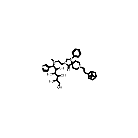 CN(CCN1CN(c2ccccc2)C2(CCN(CCC3CCC4CC3C4(C)C)CC2)C1=O)C(c1ccsc1)C(O)C(O)C(O)C(O)CO